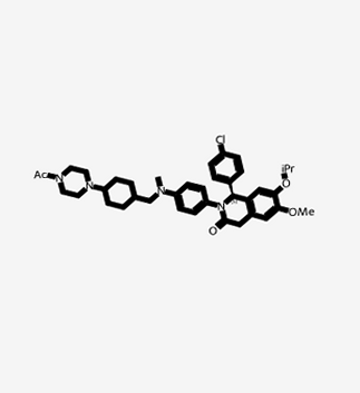 COc1cc2c(cc1OC(C)C)[C@H](c1ccc(Cl)cc1)N(c1ccc(N(C)CC3CCC(N4CCN(C(C)=O)CC4)CC3)cc1)C(=O)C2